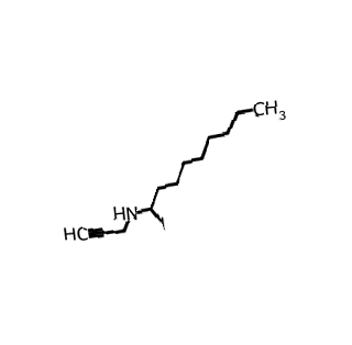 C#CCNC(I)CCCCCCCC